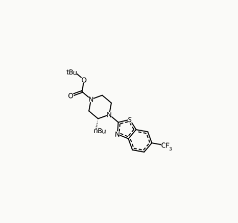 CCCC[C@@H]1CN(C(=O)OC(C)(C)C)CCN1c1nc2ccc(C(F)(F)F)cc2s1